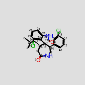 CC(C)C[C@@H]1CC(=O)NC[C@H](c2cccc(Cl)c2)[C@@]12C(=O)Nc1cccc(Cl)c12